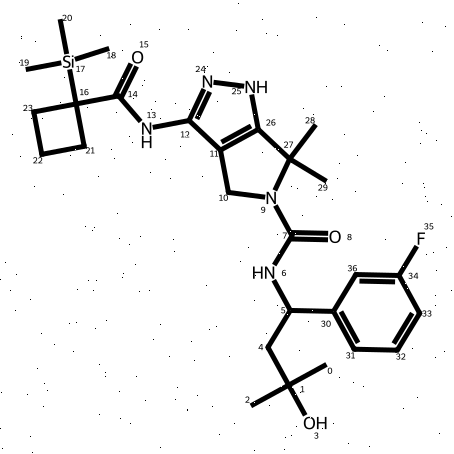 CC(C)(O)CC(NC(=O)N1Cc2c(NC(=O)C3([Si](C)(C)C)CCC3)n[nH]c2C1(C)C)c1cccc(F)c1